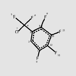 Fc1cc(C(F)(F)Cl)c(F)c(F)c1F